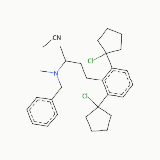 CC#N.CC(CCc1c(C2(Cl)CCCC2)cccc1C1(Cl)CCCC1)N(C)Cc1ccccc1